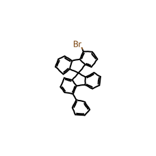 Brc1cccc2c1-c1ccccc1C21c2ccccc2-c2c(-c3ccccc3)cccc21